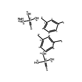 Cc1cccc(C)c1.Cc1cccc(C)c1.OP(O)(O)=S.OP(O)(O)=S.[NaH]